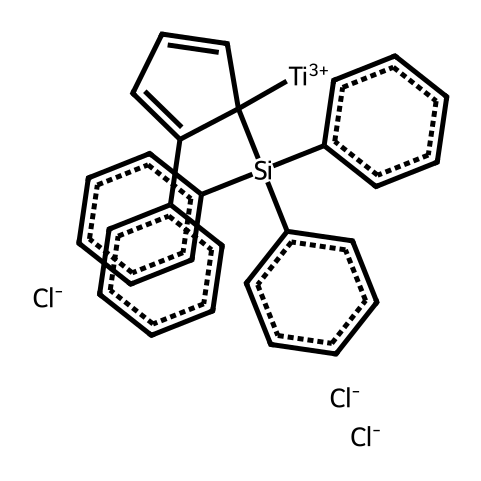 [Cl-].[Cl-].[Cl-].[Ti+3][C]1([Si](c2ccccc2)(c2ccccc2)c2ccccc2)C=CC=C1c1ccccc1